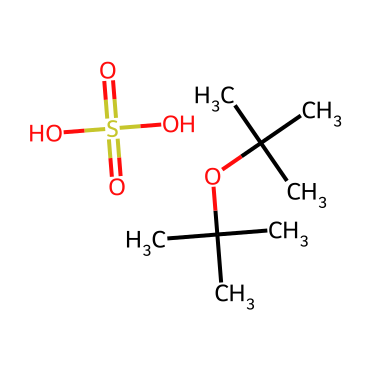 CC(C)(C)OC(C)(C)C.O=S(=O)(O)O